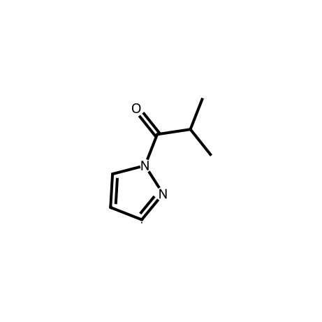 CC(C)C(=O)n1cc[c]n1